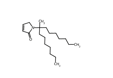 CCCCCCCC(C)(CCCCCCC)N1CC=CC1=O